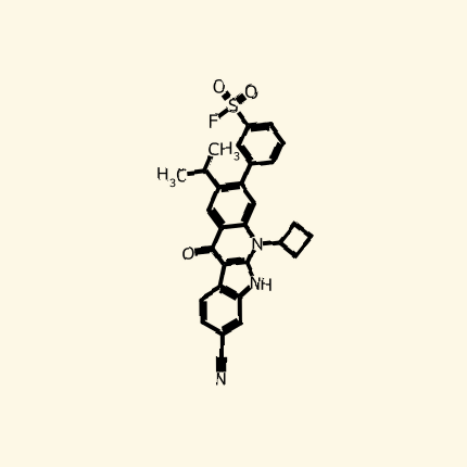 CC(C)c1cc2c(=O)c3c4ccc(C#N)cc4[nH]c3n(C3CCC3)c2cc1-c1cccc(S(=O)(=O)F)c1